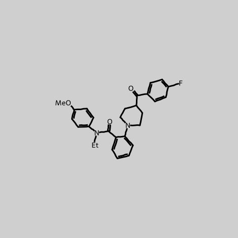 CCN(C(=O)c1ccccc1N1CCC(C(=O)c2ccc(F)cc2)CC1)c1ccc(OC)cc1